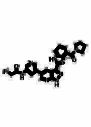 CC(C)CC(=O)Nc1cncc(-c2cnc3[nH]nc(-c4nc5c(C(=O)N6CCCC6)cccc5[nH]4)c3c2)c1